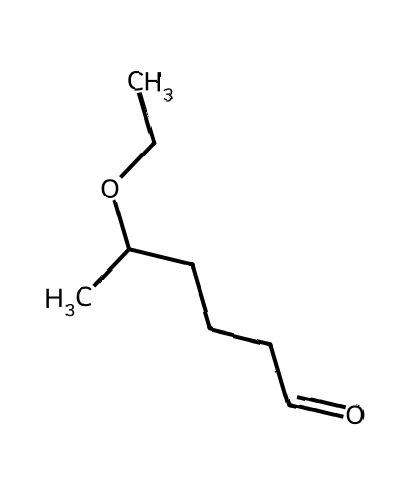 CCOC(C)CCCC=O